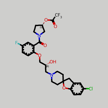 O=C(c1cc(F)ccc1OC[C@H](O)CN1CCC2(CC1)Cc1cc(Cl)ccc1O2)N1CC[C@H](OC(=O)C(F)(F)F)C1